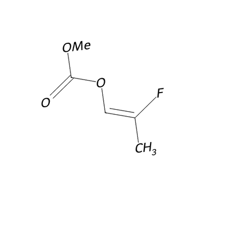 COC(=O)OC=C(C)F